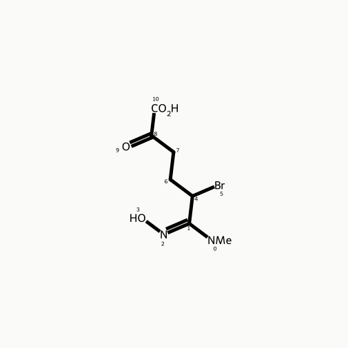 CNC(=NO)C(Br)CCC(=O)C(=O)O